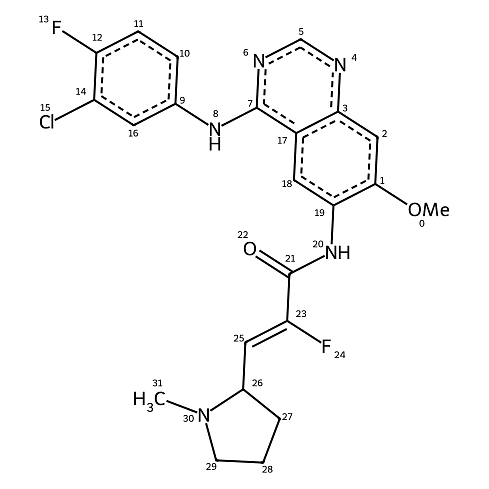 COc1cc2ncnc(Nc3ccc(F)c(Cl)c3)c2cc1NC(=O)C(F)=CC1CCCN1C